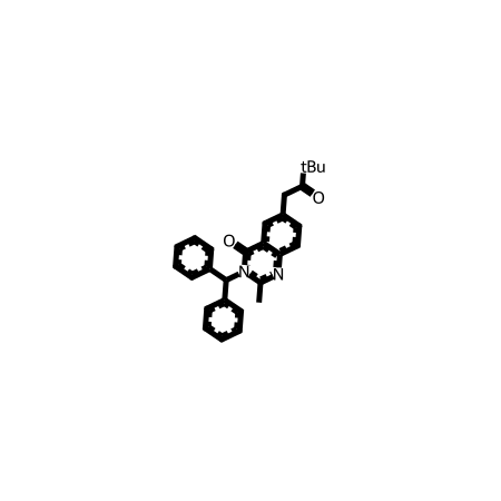 Cc1nc2ccc(CC(=O)C(C)(C)C)cc2c(=O)n1C(c1ccccc1)c1ccccc1